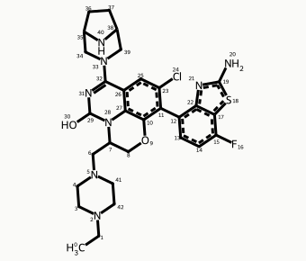 CCN1CCN(CC2COc3c(-c4ccc(F)c5sc(N)nc45)c(Cl)cc4c3N2C(O)N=C4N2CC3CCC(C2)N3)CC1